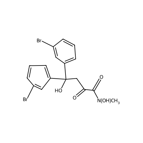 CN(O)C(=O)C(=O)CC(O)(c1cccc(Br)c1)c1cccc(Br)c1